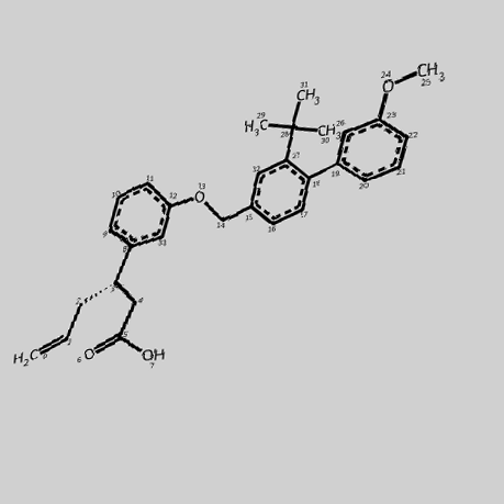 C=CC[C@@H](CC(=O)O)c1cccc(OCc2ccc(-c3cccc(OC)c3)c(C(C)(C)C)c2)c1